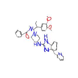 CCC(c1ccc(OC)c(OC)c1)C(N1CCC(Nc2nc3c(Cc4ccccn4)cccc3[nH]2)CC1)N(C)C(=O)c1ccccc1